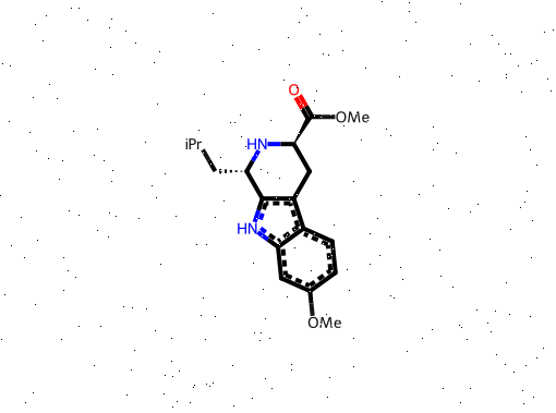 COC(=O)[C@H]1Cc2c([nH]c3cc(OC)ccc23)[C@H](CC(C)C)N1